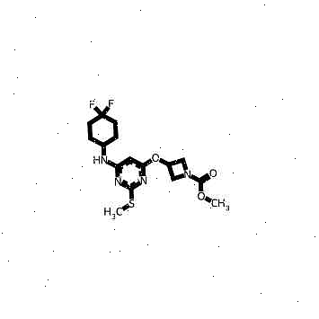 COC(=O)N1CC(Oc2cc(NC3CCC(F)(F)CC3)nc(SC)n2)C1